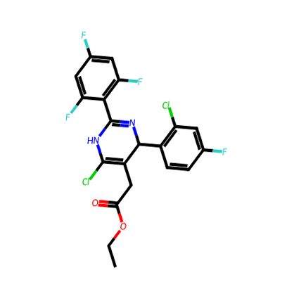 CCOC(=O)CC1=C(Cl)NC(c2c(F)cc(F)cc2F)=NC1c1ccc(F)cc1Cl